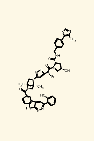 Cc1ncsc1-c1ccc(CNC(=O)[C@@H]2C[C@@H](O)CN2C(=O)[C@H](c2cc(N3C[C@@]4(C)C[C@]3(C)CN4C(=O)c3ccc4[nH]c5nnc(-c6ccccc6O)cc5c4c3)no2)C(C)C)cc1